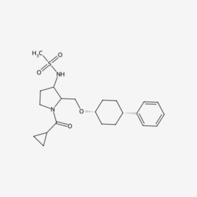 CS(=O)(=O)NC1CCN(C(=O)C2CC2)C1CO[C@H]1CC[C@@H](c2ccccc2)CC1